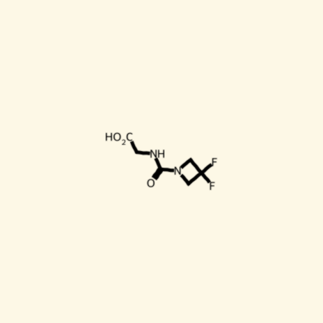 O=C(O)CNC(=O)N1CC(F)(F)C1